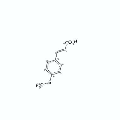 O=C(O)C=Cc1ccc(SC(F)(F)F)cc1